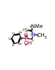 CNC(=S)N(C)CP(=O)(O)c1ccccc1